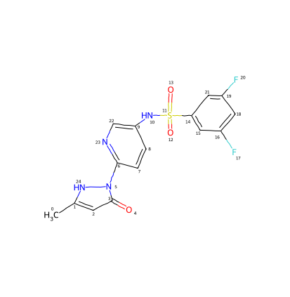 Cc1cc(=O)n(-c2ccc(NS(=O)(=O)c3cc(F)cc(F)c3)cn2)[nH]1